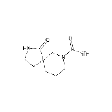 CC(C)C(=O)N1CCCC2(CCNC2=O)C1